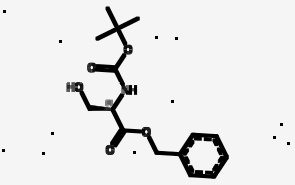 CC(C)(C)OC(=O)N[C@H](CO)C(=O)OCc1ccccc1